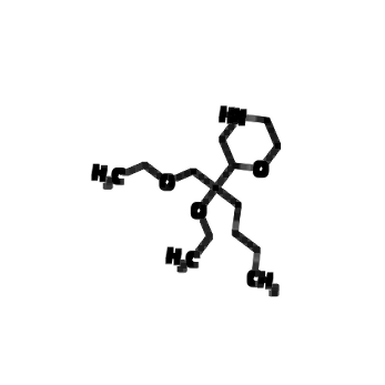 CCCCC(COCC)(OCC)C1CNCCO1